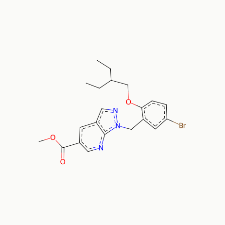 CCC(CC)COc1ccc(Br)cc1Cn1ncc2cc(C(=O)OC)cnc21